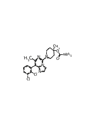 Cc1nc(N2CCC(C)(OC(N)=O)CC2)n2ccnc2c1-c1cccc(Cl)c1Cl